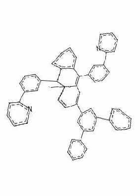 CC12C=CC(c3cc(-c4ccccc4)cc(-c4ccccc4)c3)=CC1=C(c1cccc(-c3ccccn3)c1)c1ccccc1C2c1cccc(-c2ccccn2)c1